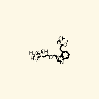 COC(=O)Cc1cccc2ncn(COCC[Si](C)(C)C)c12